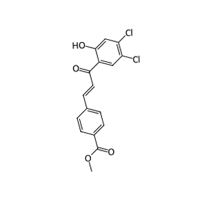 COC(=O)c1ccc(/C=C/C(=O)c2cc(Cl)c(Cl)cc2O)cc1